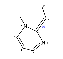 C/C=C1/N=CC=CN1C